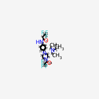 CCN(CC)CC.O=C(CC(F)(F)F)Nc1ccc(N2CCN(C(=O)C(F)(F)F)CC2)cc1